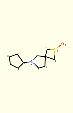 [O-][S+]1CC2(CCN(C3CCCC3)C2)C1